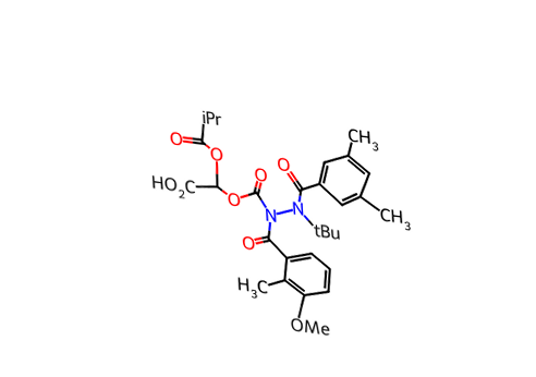 COc1cccc(C(=O)N(C(=O)OC(OC(=O)C(C)C)C(=O)O)N(C(=O)c2cc(C)cc(C)c2)C(C)(C)C)c1C